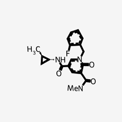 CNC(=O)c1cc(C(=O)N[C@@H]2C[C@H]2C)cn(Cc2ccccc2F)c1=O